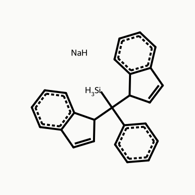 [NaH].[SiH3]C(c1ccccc1)(C1C=Cc2ccccc21)C1C=Cc2ccccc21